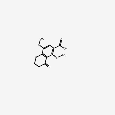 CSc1cc(C(=O)O)c(SC)c2c1OCCC2=O